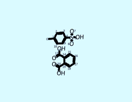 Cc1ccc(S(=O)(=O)O)cc1.O=C(O)c1ccccc1C(=O)O